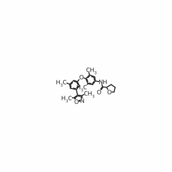 Cc1cc(Oc2c(C)cc(NC(=O)C3CCCO3)cc2C)cc(-c2c(C)noc2C)c1